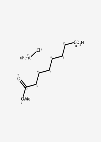 CCCCCCl.COC(=O)CCCCCCC(=O)O